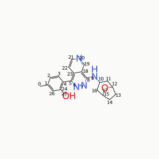 Cc1ccc(-c2nnc(NC3CC4CCC(C3)O4)c3cnccc23)c(O)c1